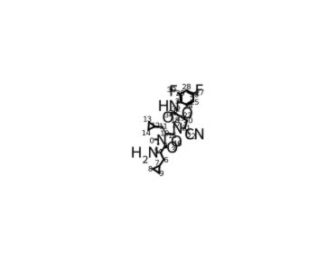 CN(C(=O)[C@@H](N)CC1CC1)[C@@H](CC1CC1)C(=O)N1C[C@@]2(C[C@H]1C#N)Oc1cc(F)cc(F)c1NC2=O